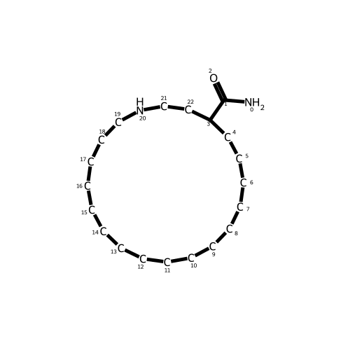 NC(=O)C1CCCCCCCCCCCCCCCCNCC1